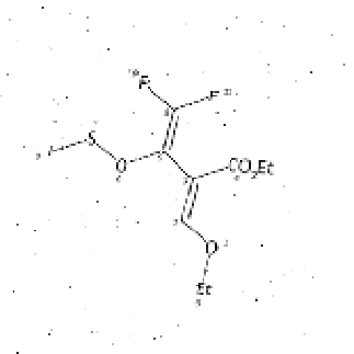 CCO/C=C(\C(=O)OCC)C(OSI)=C(F)F